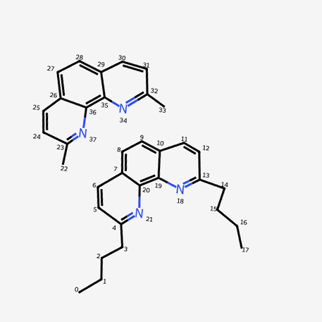 CCCCc1ccc2ccc3ccc(CCCC)nc3c2n1.Cc1ccc2ccc3ccc(C)nc3c2n1